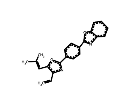 C=Cc1nc(-c2ccc(-c3nc4ccccc4o3)cc2)oc1C=C(C)C